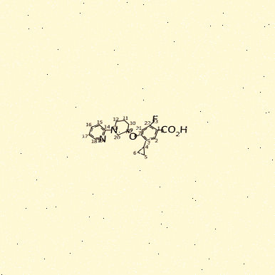 O=C(O)c1cc(C2CC2)c(O[C@@H]2CCCN(c3ccccn3)C2)cc1F